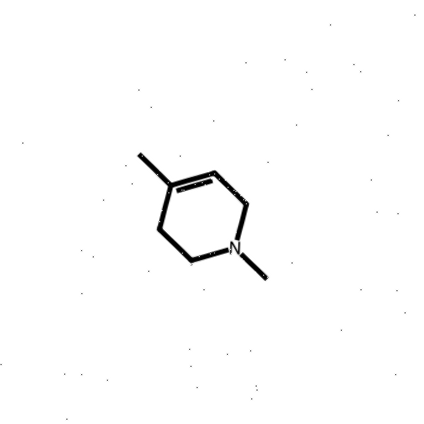 CC1=CCN(C)[CH]C1